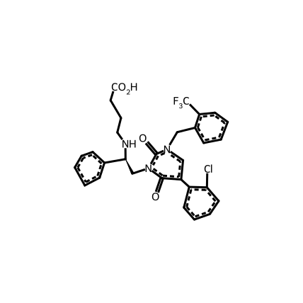 O=C(O)CCCN[C@@H](Cn1c(=O)c(-c2ccccc2Cl)cn(Cc2ccccc2C(F)(F)F)c1=O)c1ccccc1